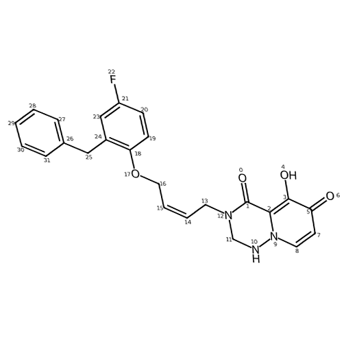 O=C1c2c(O)c(=O)ccn2NCN1C/C=C\COc1ccc(F)cc1Cc1ccccc1